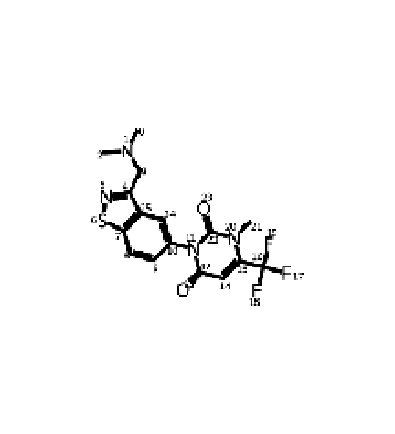 CN(C)Cc1nsc2ccc(-n3c(=O)cc(C(F)(F)F)n(C)c3=O)cc12